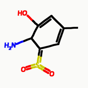 CC1=CC(=S(=O)=O)C(N)C(O)=C1